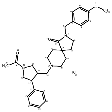 COc1ccc(CN2CCC3(CCN(CC4CN(C(C)=O)CC4c4ccccc4)CC3)C2=O)cc1.Cl